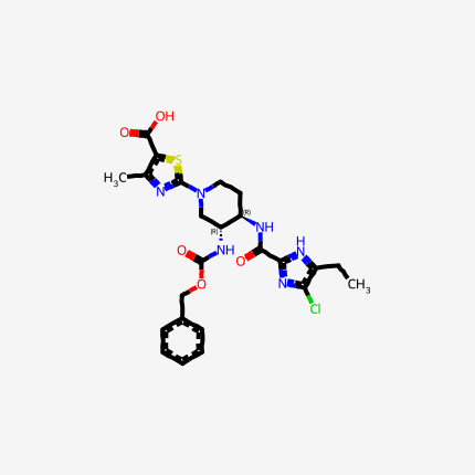 CCc1[nH]c(C(=O)N[C@@H]2CCN(c3nc(C)c(C(=O)O)s3)C[C@H]2NC(=O)OCc2ccccc2)nc1Cl